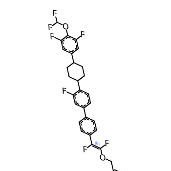 C=CCO/C(F)=C(\F)c1ccc(-c2ccc(C3CCC(c4cc(F)c(OC(F)F)c(F)c4)CC3)c(F)c2)cc1